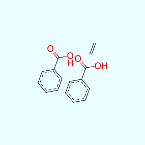 C=C.O=C(O)c1ccccc1.O=C(O)c1ccccc1